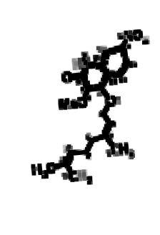 COc1c(OCC=C(C)CCC=C(C)C)c2ccc([N+](=O)[O-])cc2[nH]c1=O